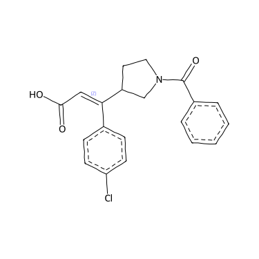 O=C(O)/C=C(\c1ccc(Cl)cc1)C1CCN(C(=O)c2ccccc2)C1